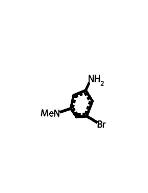 CNc1cc(N)cc(Br)c1